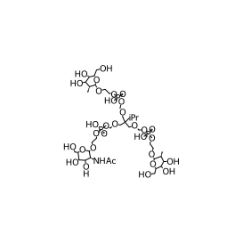 CC(=O)N[C@H]1C(O)[C@@H](O)C(CO)O[C@H]1OCCOP(=O)(O)OCOCC(COCOP(=O)(O)OCCO[C@@H]1OC(CO)[C@H](O)C(O)[C@@H]1C)(COCOP(=O)(O)OCCO[C@@H]1OC(CO)[C@H](O)C(O)[C@@H]1C)C(C)C